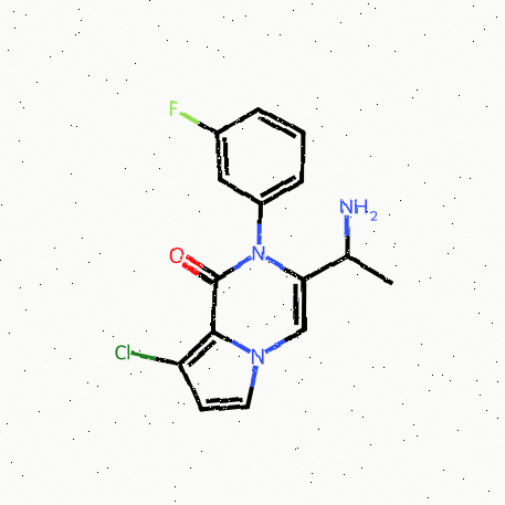 CC(N)c1cn2ccc(Cl)c2c(=O)n1-c1cccc(F)c1